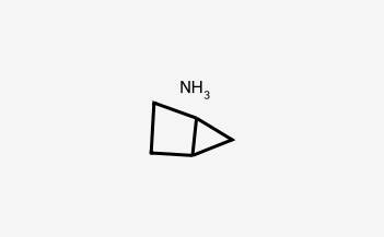 C1CC2CC12.N